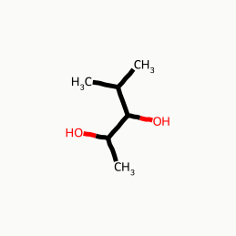 CC(C)C(O)C(C)O